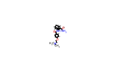 CN(C)CCOc1ccc(C(=O)NC23CC4CC(C2)CC(C(N)=O)(C4)C3)cc1